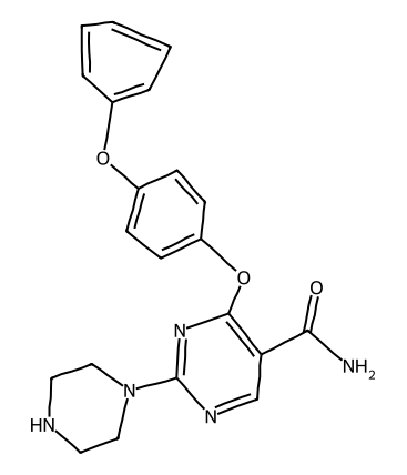 NC(=O)c1cnc(N2CCNCC2)nc1Oc1ccc(Oc2ccccc2)cc1